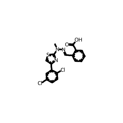 CN(N=Cc1ccccc1C(=O)O)c1nc(-c2cc(Cl)ccc2Cl)cs1